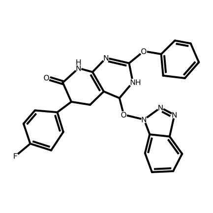 O=C1NC2=C(CC1c1ccc(F)cc1)C(On1nnc3ccccc31)NC(Oc1ccccc1)=N2